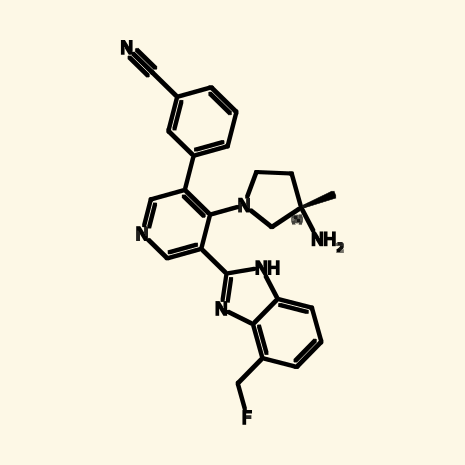 C[C@]1(N)CCN(c2c(-c3cccc(C#N)c3)cncc2-c2nc3c(CF)cccc3[nH]2)C1